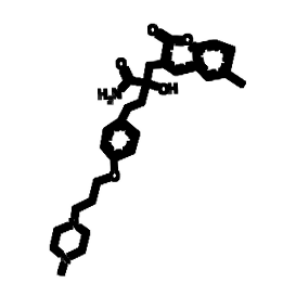 Cc1ccc2oc(=O)c(CC(O)(CCc3ccc(OCCCN4CCN(C)CC4)cc3)C(N)=O)cc2c1